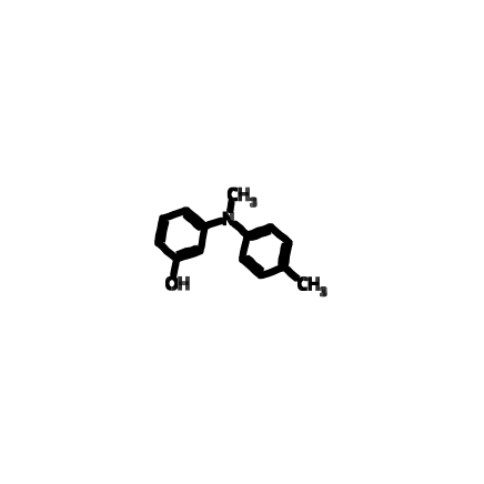 Cc1ccc(N(C)c2cccc(O)c2)cc1